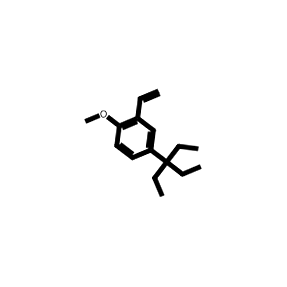 C=Cc1cc(C(CC)(CC)CC)ccc1OC